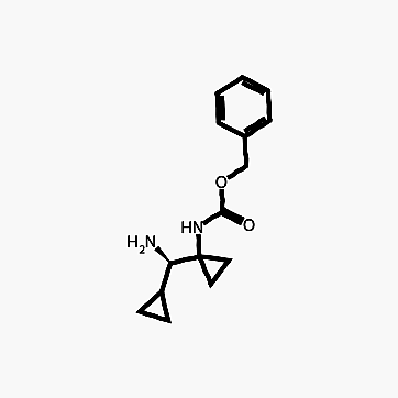 N[C@H](C1CC1)C1(NC(=O)OCc2ccccc2)CC1